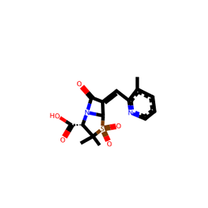 Cc1cccnc1/C=C1/C(=O)N2C1S(=O)(=O)C(C)(C)[C@@H]2C(=O)O